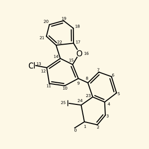 CC1C=Cc2cccc(-c3ccc(Cl)c4c3oc3ccccc34)c2C1I